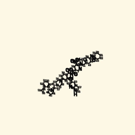 O=C(NS(=O)(=O)c1cnc(NCC2CCC(N=S3(=O)CCCCC3)CO2)c([N+](=O)[O-])c1)c1ccc(N2CCC3(CC2)CC(N2CCC[C@@H]2c2ccccc2C2CC2)C3)cc1Oc1cnc2[nH]ccc2c1